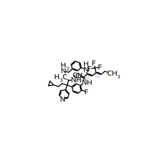 CC/C=C(/C=C(\Nc1cccc(CN)c1)C(=O)Nc1cc(C(CCC2CC2)(c2ccncc2)C(C)NC)ccc1F)C(F)(F)F